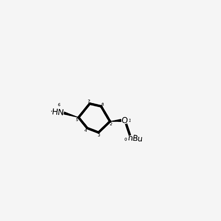 CCCCO[C@H]1CC[C@@H]([NH])CC1